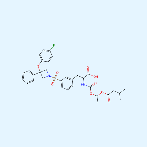 CC(C)CC(=O)OC(C)OC(=O)NC(Cc1cccc(S(=O)(=O)N2CC(Oc3ccc(F)cc3)(c3ccccc3)C2)c1)C(=O)O